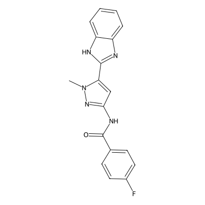 Cn1nc(NC(=O)c2ccc(F)cc2)cc1-c1nc2ccccc2[nH]1